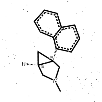 CN1C[C@H]2C[C@@]2(c2cccc3ccccc23)C1